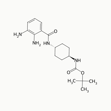 CC(C)(C)OC(=O)N[C@H]1CC[C@H](NC(=O)c2cccc(N)c2N)CC1